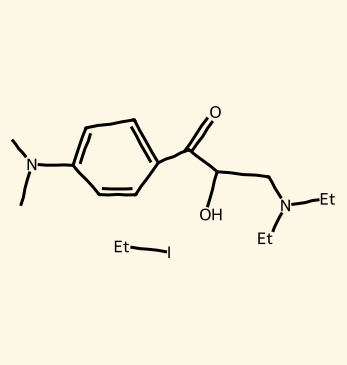 CCI.CCN(CC)CC(O)C(=O)c1ccc(N(C)C)cc1